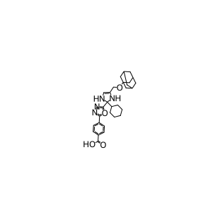 O=C(O)c1ccc(-c2nnc(C3(C4CCCCC4)NC=C(COC45CC6CC(CC(C6)C4)C5)N3)o2)cc1